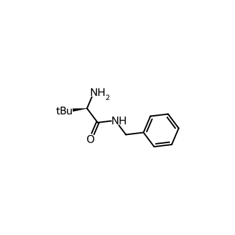 CC(C)(C)[C@@H](N)C(=O)NCc1ccccc1